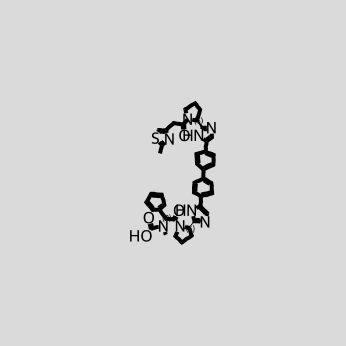 Cc1nc(CC(=O)N2CCC[C@H]2c2ncc(-c3ccc(-c4ccc(-c5cnc([C@@H]6CCCN6C(=O)[C@@H](c6ccccc6)N(C)C(=O)O)[nH]5)cc4)cc3)[nH]2)cs1